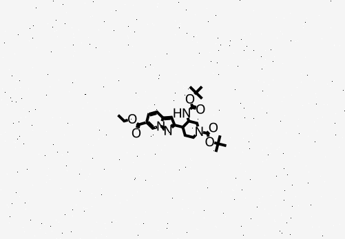 CCOC(=O)c1ccc2cc(C3CCN(C(=O)OC(C)(C)C)CC3NC(=O)OC(C)(C)C)nn2c1